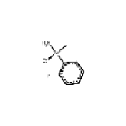 CC[N@+](C)(N)c1ccccc1.[I-]